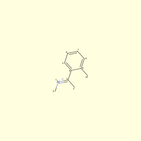 C/N=C(\C)c1ccccc1C